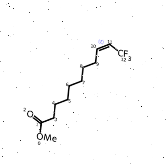 COC(=O)CCCCCCC/C=C\C(F)(F)F